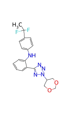 CC(F)(F)c1ccc(Nc2ccccc2-c2nnn(C3COCOC3)n2)cc1